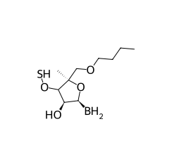 B[C@@H]1O[C@](C)(COCCCC)C(OS)[C@@H]1O